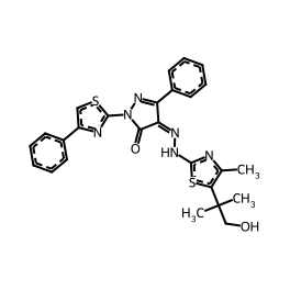 Cc1nc(N/N=C2\C(=O)N(c3nc(-c4ccccc4)cs3)N=C2c2ccccc2)sc1C(C)(C)CO